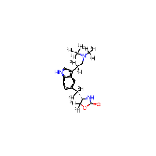 [2H]C([2H])(CN(C([2H])([2H])[2H])C([2H])([2H])[2H])c1c[nH]c2ccc(C([2H])([2H])[C@@H]3NC(=O)OC3([2H])[2H])cc12